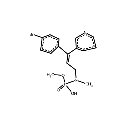 COP(=O)(O)N(C)CC=C(c1ccc(Br)cc1)c1cccnc1